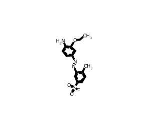 CCOc1cc(/N=N/c2cc(S(=O)(=O)F)ccc2C)ccc1N